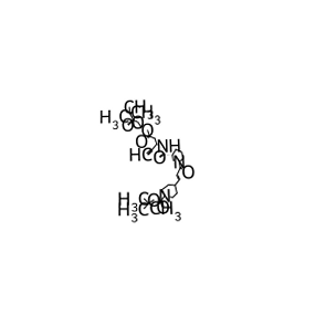 C#CC(CC(=O)OCOC(=O)C(C)(C)C)NC(=O)[C@@H]1CCCN(C(=O)/C=C/C2CCN(C(=O)OC(C)(C)C)CC2)C1